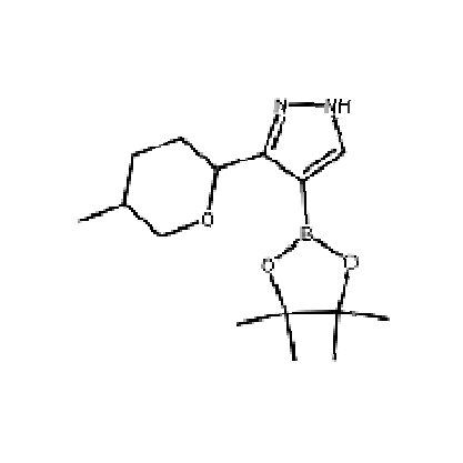 CC1CCC(c2n[nH]cc2B2OC(C)(C)C(C)(C)O2)OC1